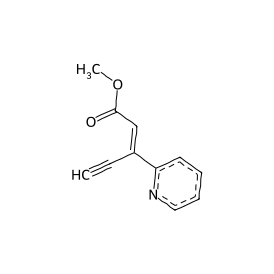 C#CC(=CC(=O)OC)c1ccccn1